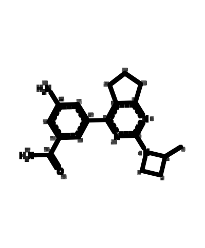 CC1CCN1c1nc2c(c(-c3cc(N)cc(C(N)=O)c3)n1)CCC2